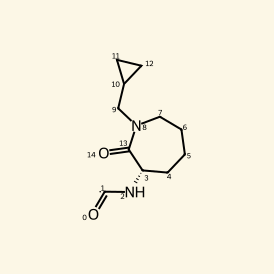 O=[C]N[C@H]1CCCCN(CC2CC2)C1=O